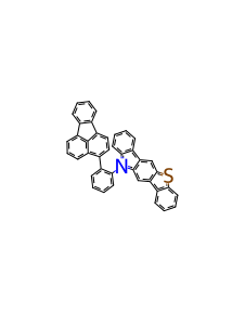 c1ccc2c(c1)-c1cccc3c(-c4ccccc4-n4c5ccccc5c5cc6sc7ccccc7c6cc54)ccc-2c13